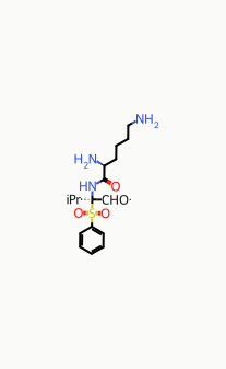 CC(C)[C@@]([C]=O)(NC(=O)[C@@H](N)CCCCN)S(=O)(=O)c1ccccc1